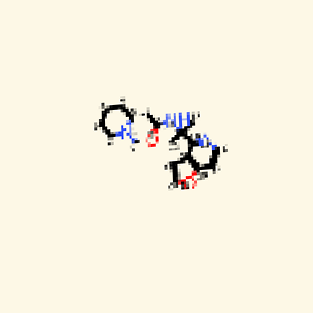 CN1CCCC[C@@H]1CC(=O)NC(C)(C)c1nccc2occc12